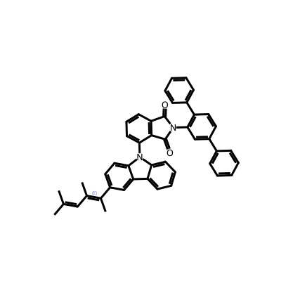 CC(C)=C/C(C)=C(\C)c1ccc2c(c1)c1ccccc1n2-c1cccc2c1C(=O)N(c1cc(-c3ccccc3)ccc1-c1ccccc1)C2=O